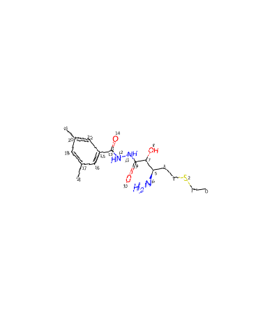 CCSCC[C@@H](N)C(O)C(=O)NNC(=O)c1cc(C)cc(C)c1